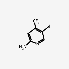 Nc1cc(C(F)(F)F)c(I)cn1